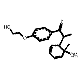 CC(C(=O)c1ccc(OCCO)cc1)C1C=CC=CC1(C)O